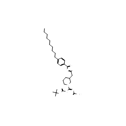 CCCCCCCCCCc1ccc(-c2noc(CC3CCCN(C(=NC(=O)O)NC(=O)OC(C)(C)C)C3)n2)cc1